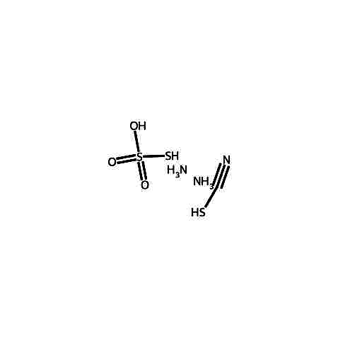 N.N.N#CS.O=S(=O)(O)S